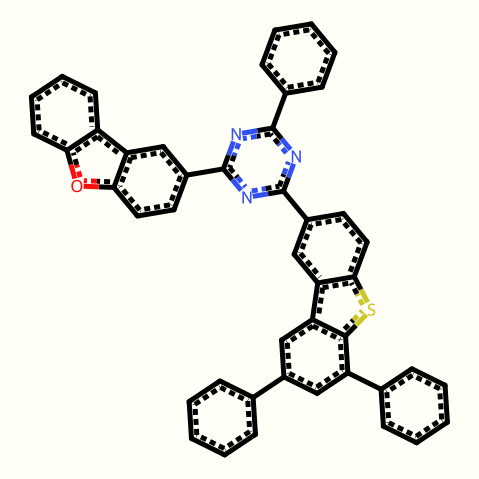 c1ccc(-c2cc(-c3ccccc3)c3sc4ccc(-c5nc(-c6ccccc6)nc(-c6ccc7oc8ccccc8c7c6)n5)cc4c3c2)cc1